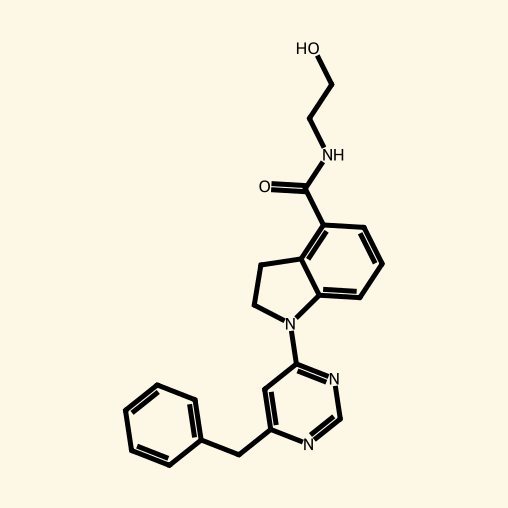 O=C(NCCO)c1cccc2c1CCN2c1cc(Cc2ccccc2)ncn1